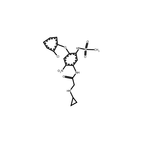 CS(=O)(=O)Nc1cc(NC(=O)CNC2CC2)c([N+](=O)[O-])cc1Oc1ccccc1Cl